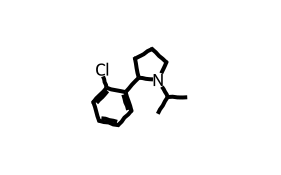 CC(C)N1CCCC1c1ccccc1Cl